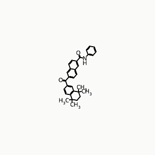 CC1(C)CCC(C)(C)c2cc(C(=O)c3ccc4cc(C(=O)Nc5ccccc5)ccc4c3)ccc21